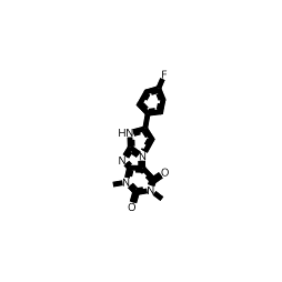 Cn1c(=O)c2c(nc3[nH]c(-c4ccc(F)cc4)cn32)n(C)c1=O